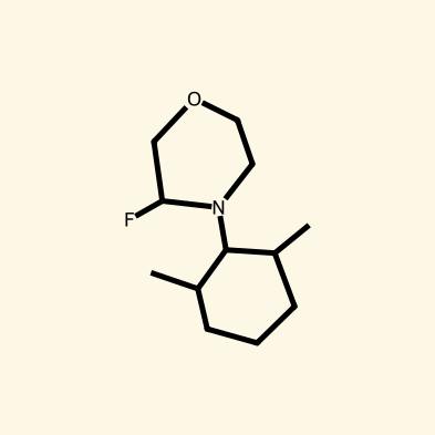 CC1CCCC(C)C1N1CCOCC1F